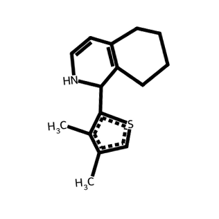 Cc1csc(C2NC=CC3=C2CCCC3)c1C